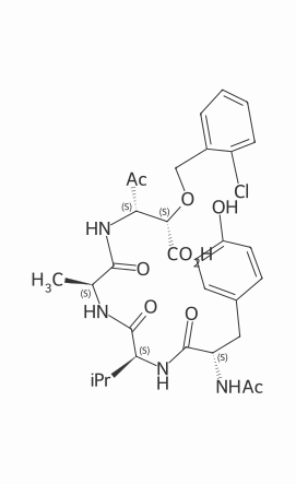 CC(=O)N[C@@H](Cc1ccc(O)cc1)C(=O)N[C@H](C(=O)N[C@@H](C)C(=O)N[C@H](C(C)=O)[C@H](OCc1ccccc1Cl)C(=O)O)C(C)C